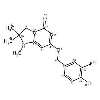 CN1c2cc(OCc3ccc(Cl)c(F)c3)nc(=O)n2CC1(C)C